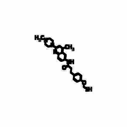 Cc1cc(N2CCN(C)CC2)nc2ccc(NC(=O)CCc3ccc(OCS)cc3)cc12